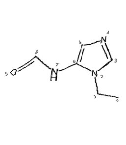 CCn1cncc1NC=O